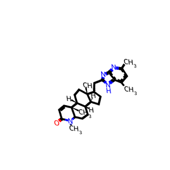 Cc1cc(C)c2[nH]c(CC3CC[C@H]4[C@@H]5CCC6N(C)C(=O)C=C[C@]6(C)[C@@H]5CC[C@]34C)nc2n1